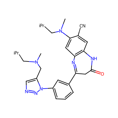 CC(C)CN(C)Cc1cnnn1-c1cccc(C2=Nc3cc(N(C)CC(C)C)c(C#N)cc3NC(=O)C2)c1